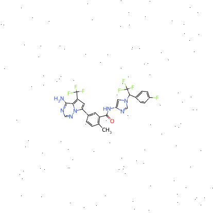 Cc1ccc(-c2cc(C(F)(F)F)c3c(N)ncnn23)cc1C(=O)Nc1cn(C(c2ccc(F)cc2)C(F)(F)F)cn1